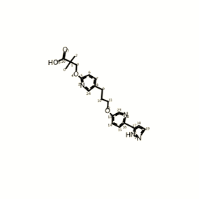 CC(C)(COc1ccc(CCCOc2ccc(-c3ccn[nH]3)nc2)cn1)C(=O)O